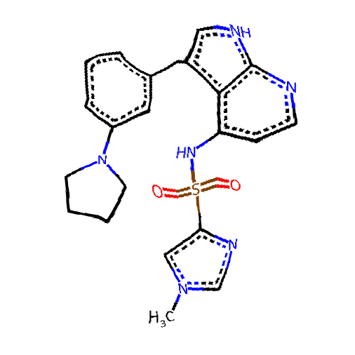 Cn1cnc(S(=O)(=O)Nc2ccnc3[nH]cc(-c4cccc(N5CCCC5)c4)c23)c1